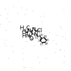 Cn1c(=O)[nH]c(=O)c2c1nc(Cl)n2CCc1ccccc1